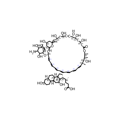 CC1OC(O[C@H]2/C=C/C=C/C=C/C=C/C=C/C=C/C=C/[C@H](C)[C@@H](O)[C@H](C)[C@H](C)OC(=O)C[C@H](O)C[C@H](O)[C@@H](O)CC[C@H](O)C[C@H](O)C[C@]3(O)C[C@H](O)[C@@H](C(=O)O)[C@H](C2)O3)C(O)C(N)C1O.C[C@H](CCC(=O)O)[C@H]1CC[C@H]2[C@@H]3CC[C@@H]4C[C@H](O)CC[C@]4(C)[C@H]3C[C@H](O)[C@]12C